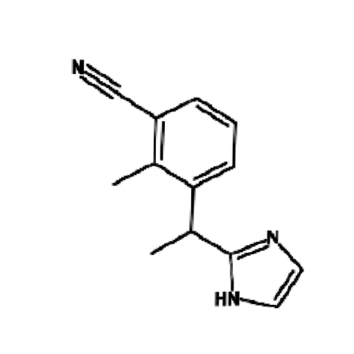 Cc1c(C#N)cccc1C(C)c1ncc[nH]1